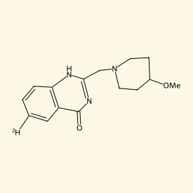 [2H]c1ccc2[nH]c(CN3CCC(OC)CC3)nc(=O)c2c1